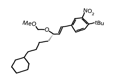 COCO[C@H](/C=C/c1ccc(C(C)(C)C)c([N+](=O)[O-])c1)CCCCC1CCCCC1